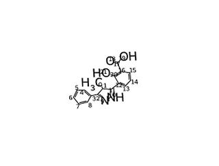 CC1C(c2ccccc2)=NNC1c1cccc(C(=O)O)c1O